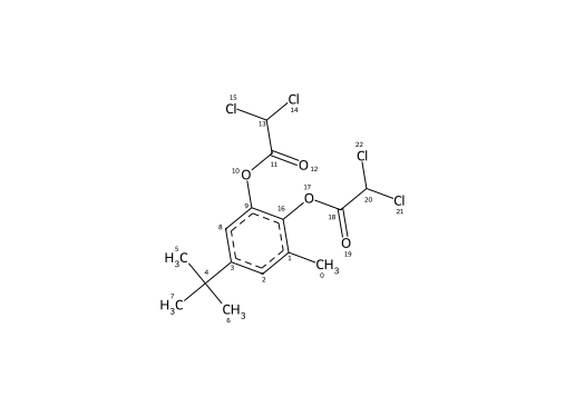 Cc1cc(C(C)(C)C)cc(OC(=O)C(Cl)Cl)c1OC(=O)C(Cl)Cl